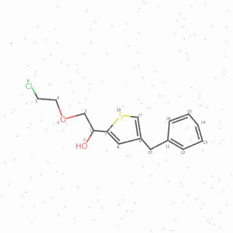 OC(COCCCl)c1cc(Cc2ccccc2)cs1